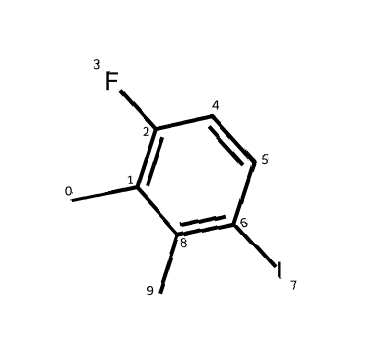 Cc1c(F)ccc(I)c1C